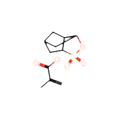 C=C(C)C(=O)O[C@@H]1C2CC3C1OS(=O)(=O)C3C2